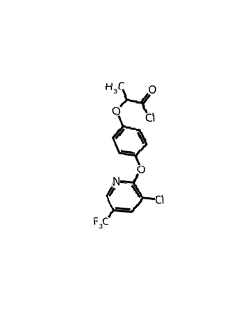 CC(Oc1ccc(Oc2ncc(C(F)(F)F)cc2Cl)cc1)C(=O)Cl